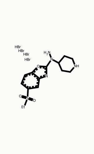 Br.Br.Br.Br.CCS(=O)(=O)c1ccc2oc(N(N)C3CCNCC3)nc2c1